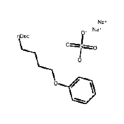 CCCCCCCCCCCCCCOc1ccccc1.O=S(=O)([O-])[O-].[Na+].[Na+]